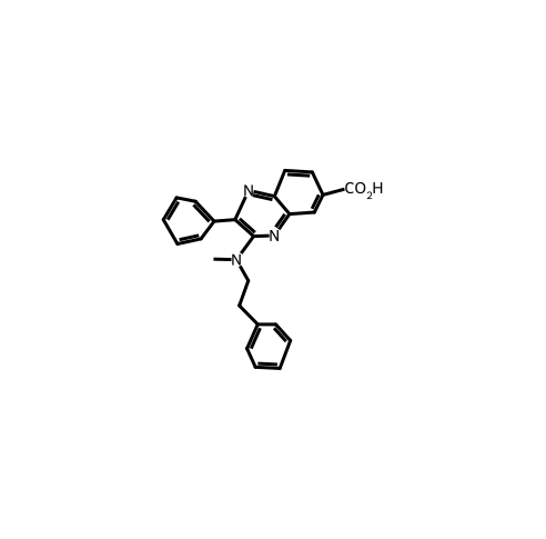 CN(CCc1ccccc1)c1nc2cc(C(=O)O)ccc2nc1-c1ccccc1